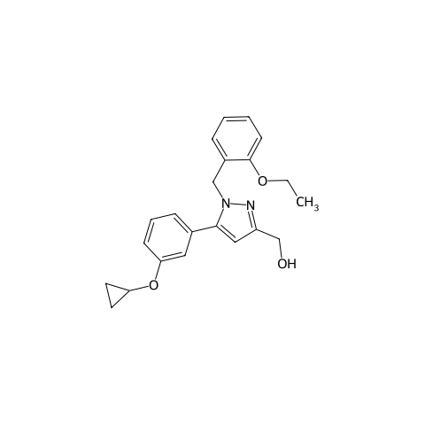 CCOc1ccccc1Cn1nc(CO)cc1-c1cccc(OC2CC2)c1